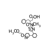 COCCOc1ccc(-c2ccccc2-c2csc(N(C)C(=O)C(CC(=O)O)Cc3ccccc3)n2)cn1